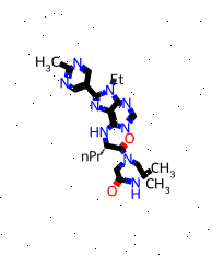 CCC[C@H](Nc1ncnc2c1nc(-c1cnc(C)nc1)n2CC)C(=O)N1CC(=O)NC(C)(C)C1